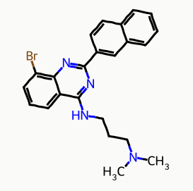 CN(C)CCCNc1nc(-c2ccc3ccccc3c2)nc2c(Br)cccc12